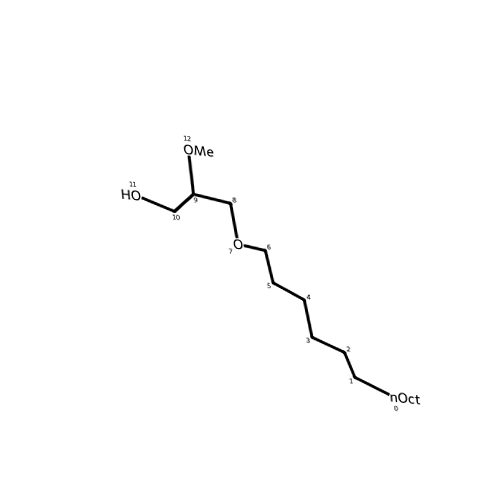 CCCCCCCCCCCCCCOCC(CO)OC